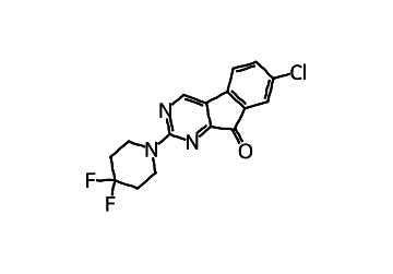 O=C1c2cc(Cl)ccc2-c2cnc(N3CCC(F)(F)CC3)nc21